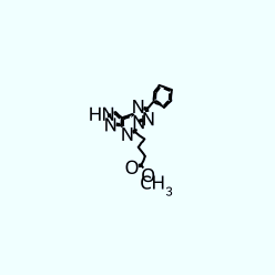 COC(=O)CCCc1nc2n[nH]cc2c2nc(-c3ccccc3)nn12